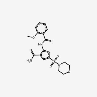 COc1ccccc1C(=O)Nc1sc(S(=O)(=O)N2CCOCC2)cc1C(N)=O